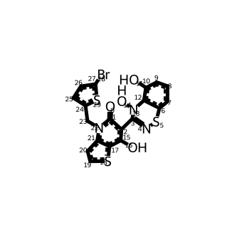 O=c1c(C2=NSc3cccc(O)c3N2O)c(O)c2sccc2n1Cc1ccc(Br)s1